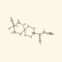 CC(C)(C)OC(=O)N1CCC2(CC1)COP(C)(=O)OC2